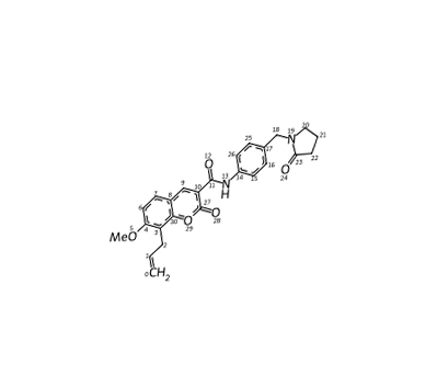 C=CCc1c(OC)ccc2cc(C(=O)Nc3ccc(CN4CCCC4=O)cc3)c(=O)oc12